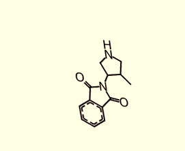 CC1CNCC1N1C(=O)c2ccccc2C1=O